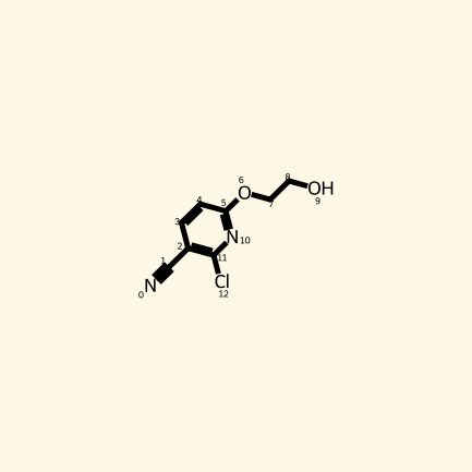 N#Cc1ccc(OCCO)nc1Cl